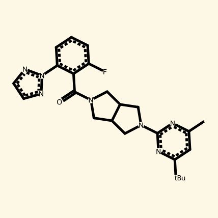 Cc1cc(C(C)(C)C)nc(N2CC3CN(C(=O)c4c(F)cccc4-n4nccn4)CC3C2)n1